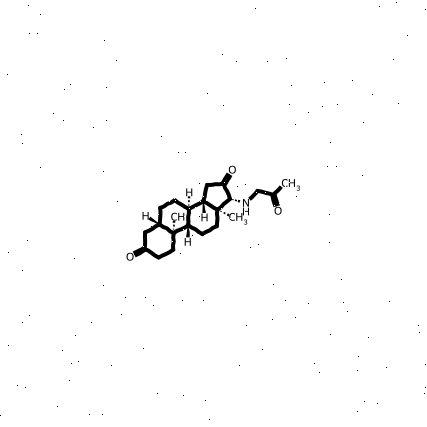 CC(=O)CN[C@H]1C(=O)C[C@H]2[C@@H]3CC[C@H]4CC(=O)CC[C@]4(C)[C@H]3CC[C@]12C